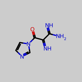 N=C(N)C(=N)C(=O)n1ccnc1